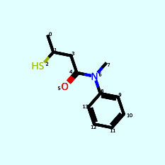 CC(S)CC(=O)N(C)c1ccccc1